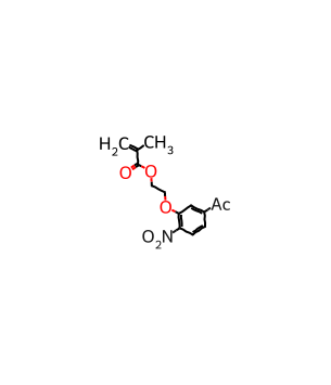 C=C(C)C(=O)OCCOc1cc(C(C)=O)ccc1[N+](=O)[O-]